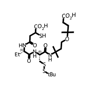 CC[C@H](NC(=O)CC(S)C(=O)O)C(=O)N[C@@H](CSSC(C)(C)C)C(=O)NC(C)(C)CCOC(C)(C)CCC(=O)O